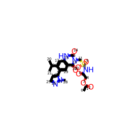 CC(=O)OCC(=O)NS(=O)(=O)Cn1c(=O)[nH]c2cc(C(C)C)c(-c3ccnn3C)cc2c1=O